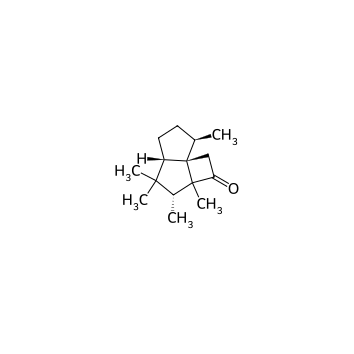 C[C@@H]1C(C)(C)[C@@H]2CC[C@@H](C)[C@@]23CC(=O)C13C